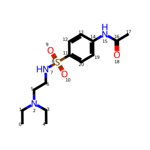 CCN(CC)CCNS(=O)(=O)c1ccc(NC(C)=O)cc1